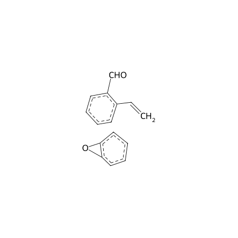 C=Cc1ccccc1C=O.c1ccc2c(c1)O2